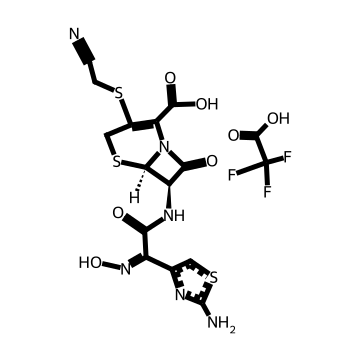 N#CCSC1=C(C(=O)O)N2C(=O)[C@@H](NC(=O)/C(=N\O)c3csc(N)n3)[C@H]2SC1.O=C(O)C(F)(F)F